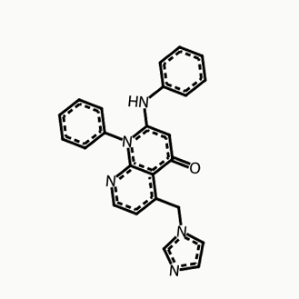 O=c1cc(Nc2ccccc2)n(-c2ccccc2)c2nccc(Cn3ccnc3)c12